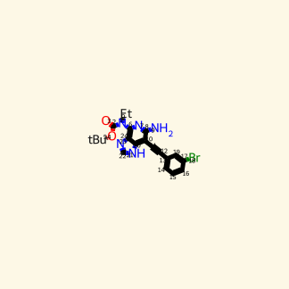 CCN(C(=O)OC(C)(C)C)c1nc(N)c(C#Cc2cccc(Br)c2)c2[nH]cnc12